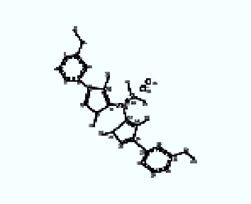 CCc1cccc(C2=CC(C)[C]([Zr+2]([C]3=C(C)C(c4cccc(CC)c4)=CC3C)=[Si](C)C)=C2C)c1.[Cl-].[Cl-]